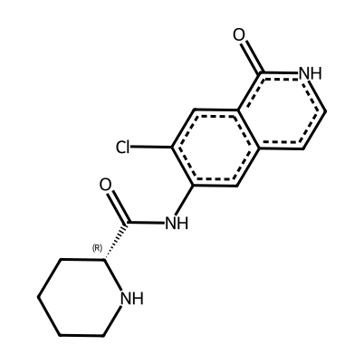 O=C(Nc1cc2cc[nH]c(=O)c2cc1Cl)[C@H]1CCCCN1